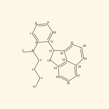 CCCCC(C)c1c[c]ccc1C1Cc2cccc3cccc1c23